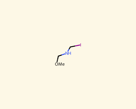 COCNCI